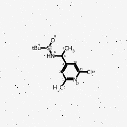 Cc1cc(C(C)N[S+]([O-])C(C)(C)C)cc(Cl)n1